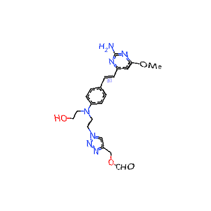 COc1cc(/C=C/c2ccc(N(CCO)CCn3cc(COC=O)nn3)cc2)nc(N)n1